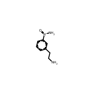 NC[CH]c1cccc([N+](N)=O)c1